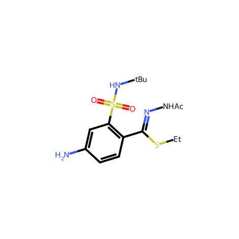 CCS/C(=N\NC(C)=O)c1ccc(N)cc1S(=O)(=O)NC(C)(C)C